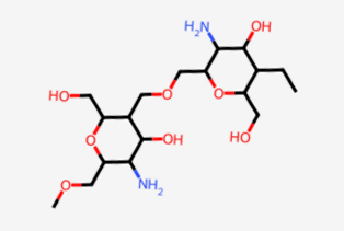 CCC1C(CO)OC(COCC2C(CO)OC(COC)C(N)C2O)C(N)C1O